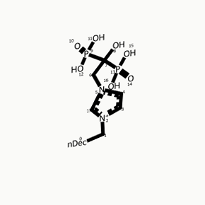 CCCCCCCCCCC[n+]1ccn(CC(O)(P(=O)(O)O)P(=O)(O)O)c1